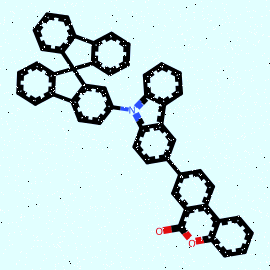 O=c1oc2ccccc2c2ccc(-c3ccc4c(c3)c3ccccc3n4-c3ccc4c(c3)C3(c5ccccc5-c5ccccc53)c3ccccc3-4)cc12